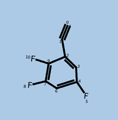 [C]#Cc1cc(F)cc(F)c1F